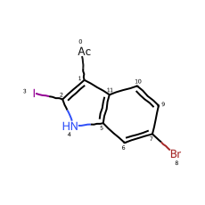 CC(=O)c1c(I)[nH]c2cc(Br)ccc12